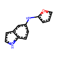 c1coc(Nc2ccc3[nH]ccc3c2)c1